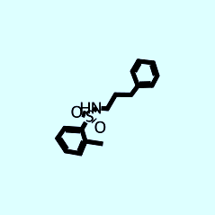 Cc1ccccc1S(=O)(=O)NCCCc1ccccc1